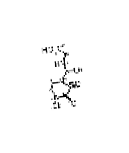 CCN1CCN(C(=O)NCC(=O)O)C(=O)C1=O